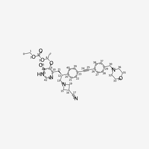 CCOC(=O)OC(C)Oc1c(C[C@H](CN2CC(C#N)C2)c2ccc(C#Cc3ccc(CN4CCOCC4)cc3)cc2)nc[nH]c1=O